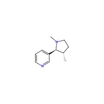 [CH2][C@H]1CCN(C)[C@@H]1c1cccnc1